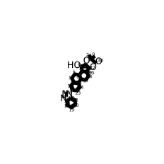 CC1(C)OC2C(O)C3C4CCc5cc(-n6nnc7ccccc76)ccc5C4CC[C@]3(C)[C@H]2OC1=O